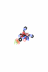 CC(OCCN1CCCC1)(c1ccncc1)C1(C(C)(OCCN2CCCC2)c2ccncc2)NC(=O)N(c2ccc(S(=O)(=O)C(F)(F)F)cc2)C1=O